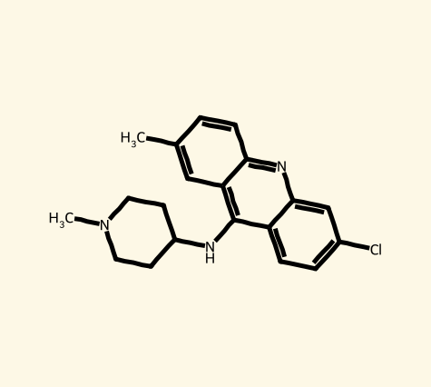 Cc1ccc2nc3cc(Cl)ccc3c(NC3CCN(C)CC3)c2c1